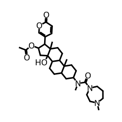 CC(=O)OC1CC2(O)C3CCC4CC(N(C)C(=O)N5CCCN(C)CC5)CCC4(C)C3CCC2(C)C1c1ccc(=O)oc1